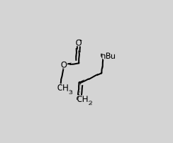 C=CCCCCC.COC=O